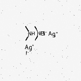 CNC.CNC.[Ag+].[Ag+].[Cl-].[I-]